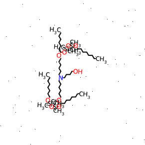 CCCCCCCCO[Si](C)(C)O[Si](C)(C)OC(CCCCCCC)OCCCCCCN(CCCCO)CCCCCCOC(CCCCCCC)O[Si](C)(C)O[Si](C)(C)OCCCCCCCC